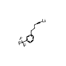 [Li][C]#CCCCc1cccc(C(F)(F)F)c1